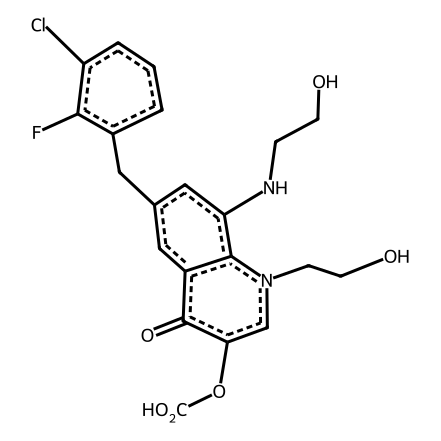 O=C(O)Oc1cn(CCO)c2c(NCCO)cc(Cc3cccc(Cl)c3F)cc2c1=O